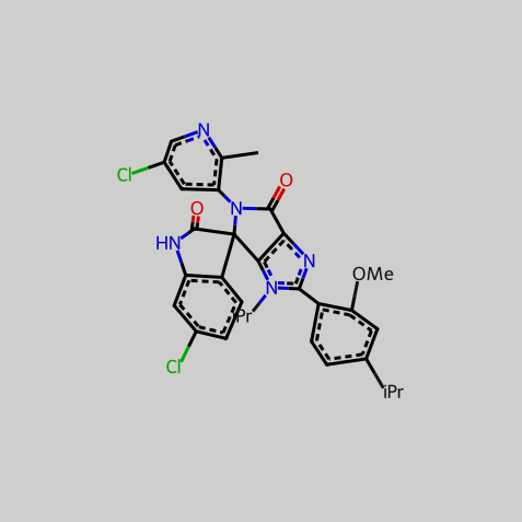 COc1cc(C(C)C)ccc1-c1nc2c(n1C(C)C)C1(C(=O)Nc3cc(Cl)ccc31)N(c1cc(Cl)cnc1C)C2=O